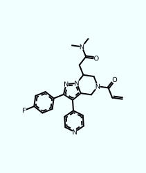 C=CC(=O)N1Cc2c(-c3ccncc3)c(-c3ccc(F)cc3)nn2C(CC(=O)N(C)C)C1